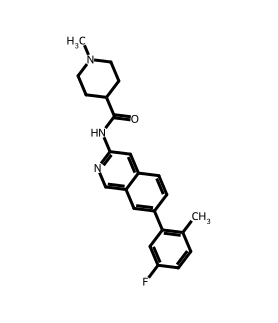 Cc1ccc(F)cc1-c1ccc2cc(NC(=O)C3CCN(C)CC3)ncc2c1